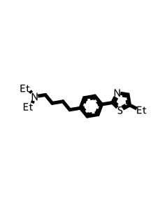 CCc1cnc(-c2ccc(CCCCN(CC)CC)cc2)s1